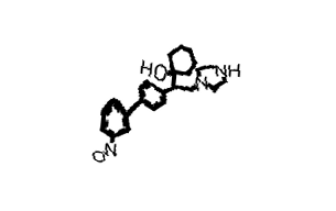 O=Nc1cccc(-c2ccc(C(CN3CCNCC3)C3(O)CCCCC3)cc2)c1